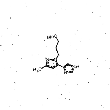 COCCCn1nc(C)cc1-c1c[nH]cn1